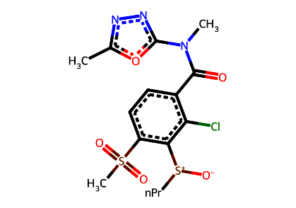 CCC[S+]([O-])c1c(S(C)(=O)=O)ccc(C(=O)N(C)c2nnc(C)o2)c1Cl